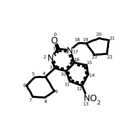 O=c1nc(C2CCCCC2)c2cc([N+](=O)[O-])ccc2n1CC1CCCC1